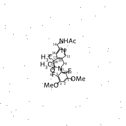 COc1cc(OC)c(F)c(N2Cc3cnc(CNC(C)=O)cc3C(C)(C)C2=O)c1F